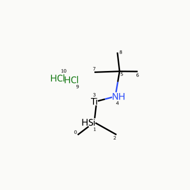 C[SiH](C)[Ti][NH]C(C)(C)C.Cl.Cl